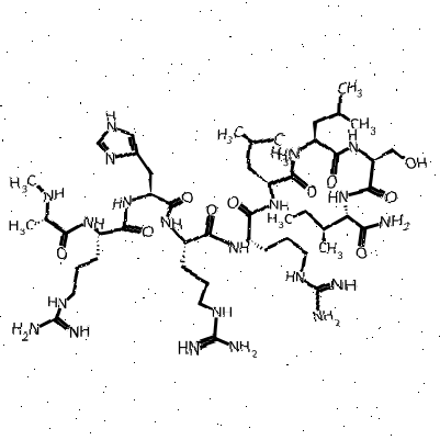 CC[C@H](C)[C@H](NC(=O)[C@H](CO)NC(=O)[C@H](CC(C)C)NC(=O)[C@H](CC(C)C)NC(=O)[C@H](CCCNC(=N)N)NC(=O)[C@H](CCCNC(=N)N)NC(=O)[C@H](Cc1c[nH]cn1)NC(=O)[C@H](CCCNC(=N)N)NC(=O)[C@H](C)NC)C(N)=O